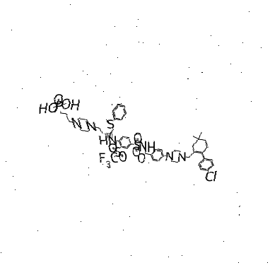 CC1(C)CCC(c2ccc(Cl)cc2)=C(CN2CCN(c3ccc(C(=O)NS(=O)(=O)c4ccc(N[C@H](CCN5CCN(CCCP(=O)(O)O)CC5)CSc5ccccc5)c(S(=O)(=O)C(F)(F)F)c4)cc3)CC2)C1